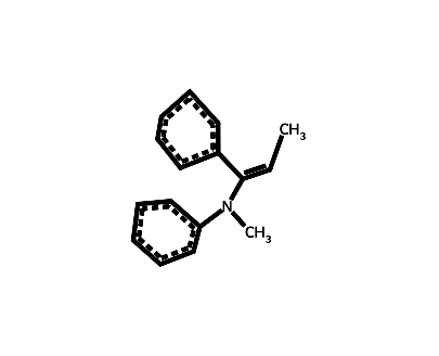 C/C=C(\c1ccccc1)N(C)c1ccccc1